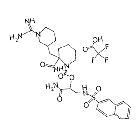 N=C(N)N1CCCC(CC2(C(N)=O)CCCCN2C(=O)OC(CNS(=O)(=O)c2ccc3ccccc3c2)C(N)=O)C1.O=C(O)C(F)(F)F